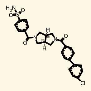 NS(=O)(=O)c1ccc(C(=O)N2C[C@H]3CN(C(=O)c4ccc(-c5ccc(Cl)cc5)cc4)C[C@H]3C2)cc1